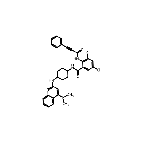 CN(C)c1cc(NC2CCC(NC(=O)c3cc(Cl)cc(Cl)c3NC(=O)C#Cc3ccccc3)CC2)nc2ccccc12